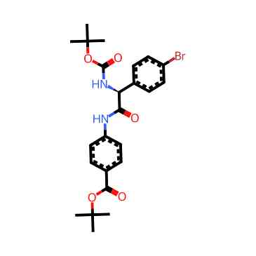 CC(C)(C)OC(=O)N[C@H](C(=O)Nc1ccc(C(=O)OC(C)(C)C)cc1)c1ccc(Br)cc1